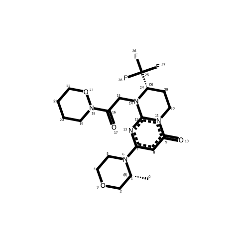 C[C@@H]1COCCN1c1cc(=O)n2c(n1)N(CC(=O)N1CCCCO1)[C@H](C(F)(F)F)CC2